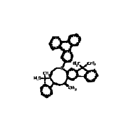 C=C1/C=C2\C(=C/CN(c3ccc4c5ccccc5c5ccccc5c4c3)c3cc4c(cc31)-c1ccccc1C4(C)C)C(C)(C)c1ccccc12